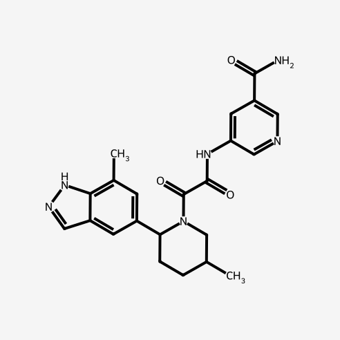 Cc1cc(C2CCC(C)CN2C(=O)C(=O)Nc2cncc(C(N)=O)c2)cc2cn[nH]c12